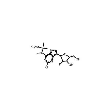 CCCCC[Si](C)(C)N(C)c1nc(Cl)nc2c1ncn2C1OC(CO)C(O)C1F